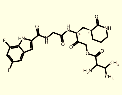 CC(C)C(N)C(=O)OCC(=O)[C@H](C[C@@H]1CCCNC1=O)NC(=O)CNC(=O)c1cc2cc(F)cc(F)c2[nH]1